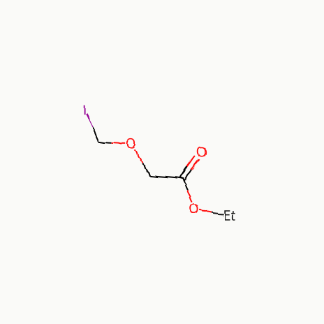 CCOC(=O)COCI